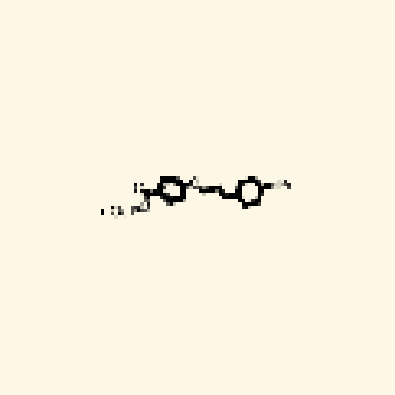 CCCCCCCCOC(=O)c1ccc(OCCCC2CCC(CCC)CC2)cc1